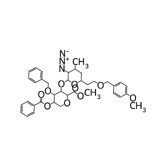 COC(=O)C1OCC(OC(=O)c2ccccc2)C(OCc2ccccc2)C1OC1OC(CCOCc2ccc(OC)cc2)CC(C)C1N=[N+]=[N-]